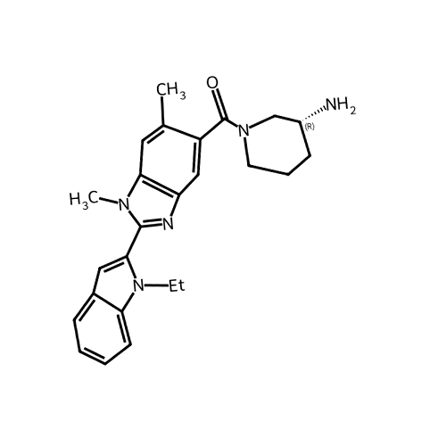 CCn1c(-c2nc3cc(C(=O)N4CCC[C@@H](N)C4)c(C)cc3n2C)cc2ccccc21